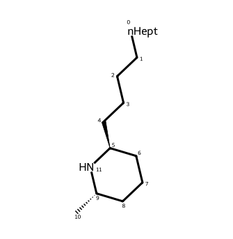 CCCCCCCCCCC[C@H]1CCC[C@H](C)N1